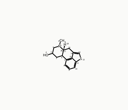 CN1CC(O)CC2c3cccc4scc(c34)C[C@H]21